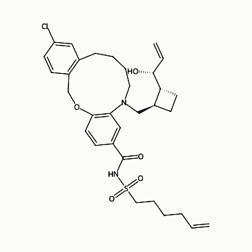 C=CCCCCS(=O)(=O)NC(=O)c1ccc2c(c1)N(C[C@@H]1CC[C@H]1[C@H](O)C=C)CCCCc1cc(Cl)ccc1CO2